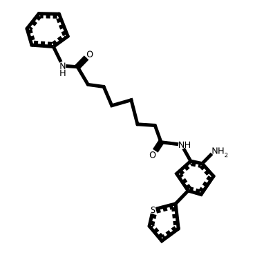 Nc1ccc(-c2cccs2)cc1NC(=O)CCCCCCC(=O)Nc1ccccc1